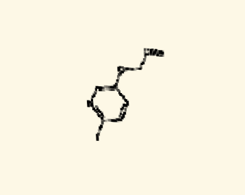 COCOc1ccc(I)nc1